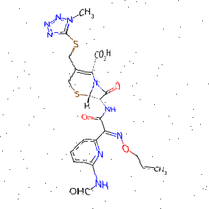 C=CCON=C(C(=O)NC1C(=O)N2C(C(=O)O)=C(CSc3nnnn3C)CS[C@@H]12)c1cccc(NC=O)n1